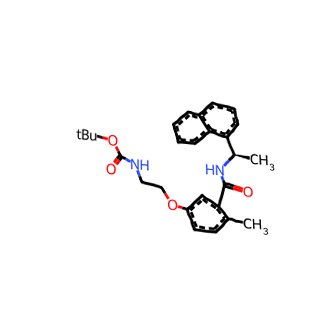 Cc1ccc(OCCNC(=O)OC(C)(C)C)cc1C(=O)N[C@H](C)c1cccc2ccccc12